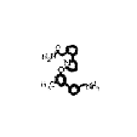 Cc1cc(Oc2cccc(-c3ccccc3CC(N)=O)n2)cc(-c2cccc(CN)c2)c1